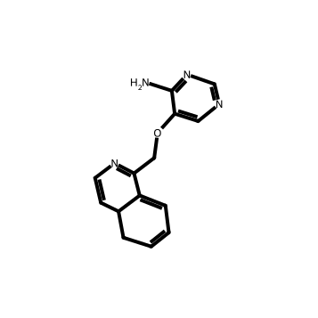 Nc1ncncc1OCC1=NC=CC2CC=CC=C12